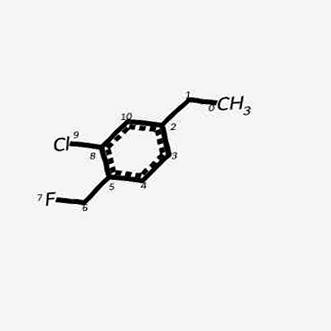 CCc1ccc(CF)c(Cl)c1